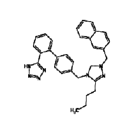 CCCCC1=NN(Cc2ccc3ccccc3c2)CN1Cc1ccc(-c2ccccc2-c2nnn[nH]2)cc1